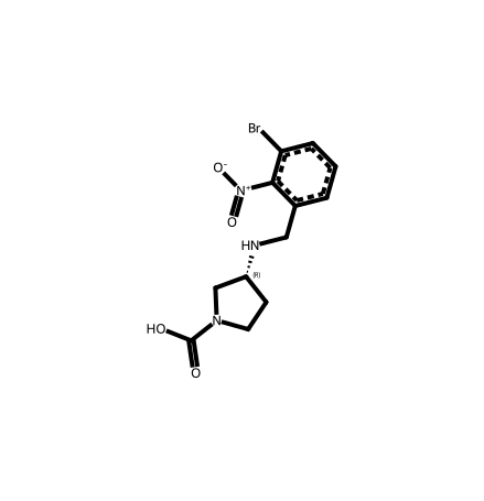 O=C(O)N1CC[C@@H](NCc2cccc(Br)c2[N+](=O)[O-])C1